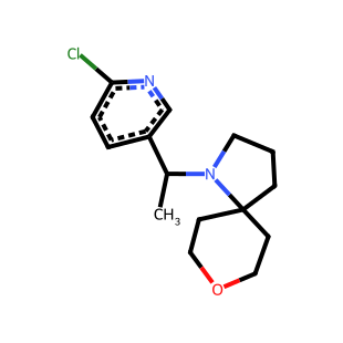 CC(c1ccc(Cl)nc1)N1CCCC12CCOCC2